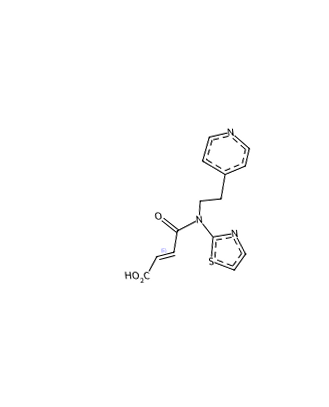 O=C(O)/C=C/C(=O)N(CCc1ccncc1)c1nccs1